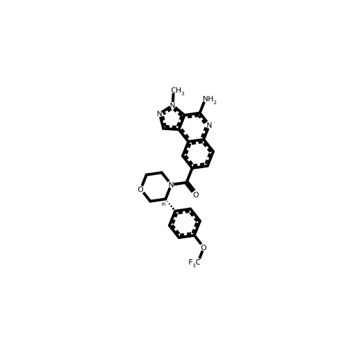 Cn1ncc2c3cc(C(=O)N4CCOC[C@H]4c4ccc(OC(F)(F)F)cc4)ccc3nc(N)c21